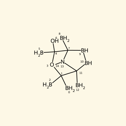 BC1(B)OC(B)(O)C2(B)BBC1(B)N2C